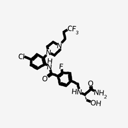 NC(=O)[C@H](CO)NCc1ccc(C(=O)Nc2ccc(Cl)cc2N2CCN(CCC(F)(F)F)CC2)c(F)c1